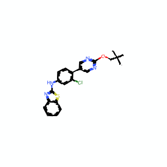 [CH2]C(C)(C)[CH]Oc1ncc(-c2ccc(Nc3nc4ccccc4s3)cc2Cl)cn1